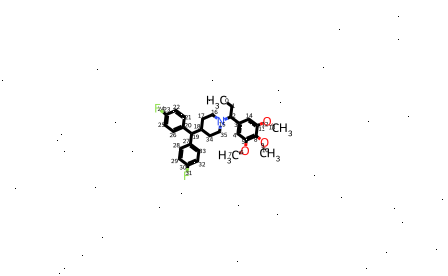 CCC(c1cc(OC)c(OC)c(OC)c1)N1CCC(C(c2ccc(F)cc2)c2ccc(F)cc2)CC1